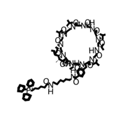 CC=CC[C@@H](C)[C@@H](O)[C@H]1C(=O)N[C@@H](CC)C(=O)N(C)C(Cc2ccc(C(=O)NCCCCCCNC(=O)CCCCC[P+](c3ccccc3)(c3ccccc3)c3ccccc3)cc2)C(=O)N(C)[C@@H](CC(C)C)C(=O)N[C@@H](C(C)C)C(=O)N(C)[C@@H](CC(C)C)C(=O)N[C@@H](C)C(=O)N[C@H](C)C(=O)N(C)[C@@H](CC(C)C)C(=O)N(C)[C@@H](CC(C)C)C(=O)N(C)[C@@H](C(C)C)C(=O)N1C